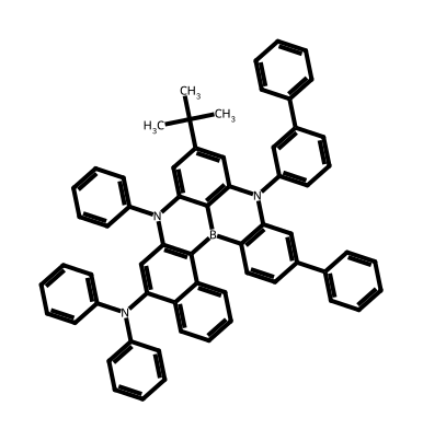 CC(C)(C)c1cc2c3c(c1)N(c1ccccc1)c1cc(N(c4ccccc4)c4ccccc4)c4ccccc4c1B3c1ccc(-c3ccccc3)cc1N2c1cccc(-c2ccccc2)c1